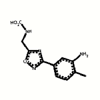 Cc1ccc(-c2noc(CNC(=O)O)n2)cc1N